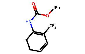 CC(C)(C)OC(=O)NC1=C(C(F)(F)F)C=CC[CH]1